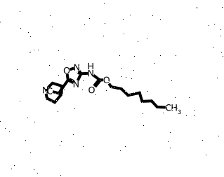 CCCCCCCCOC(=O)Nc1noc(C2CN3CCC2CC3)n1